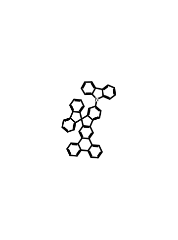 c1ccc2c(c1)-c1ccccc1C21c2cc(-n3c4ccccc4c4ccccc43)ccc2-c2cc3c4ccccc4c4ccccc4c3cc21